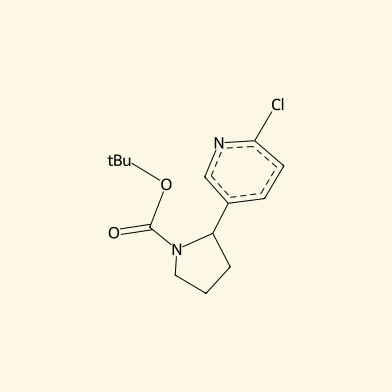 CC(C)(C)OC(=O)N1CCCC1c1ccc(Cl)nc1